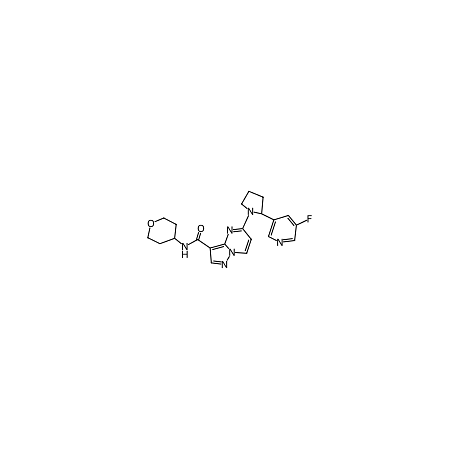 O=C(NC1CCOCC1)c1cnn2ccc(N3CCCC3c3cncc(F)c3)nc12